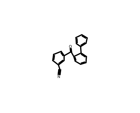 N#Cc1cccc(C(=O)c2ccccc2-c2ccccc2)c1